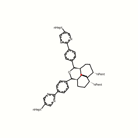 CCCCCCCc1cnc(-c2ccc(C(OC(c3ccc(-c4ncc(CCCCCCC)cn4)cc3)[C@H]3CC[C@H](CCCCC)CC3)[C@H]3CC[C@H](CCCCC)CC3)cc2)nc1